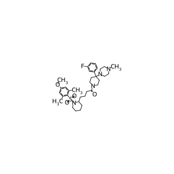 COc1cc(C)c(S(=O)(=O)N2CCCCC2CCCC(=O)N2CCC(c3cccc(F)c3)(N3CCN(C)CC3)CC2)c(C)c1